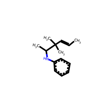 CC=CC(C)(C)C(C)Nc1ccccc1